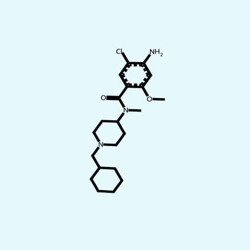 COc1cc(N)c(Cl)cc1C(=O)N(C)C1CCN(CC2CCCCC2)CC1